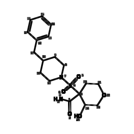 NC(=O)C1(S(=O)(=O)N2CCC(Cc3ccccc3)CC2)CCOCC1O